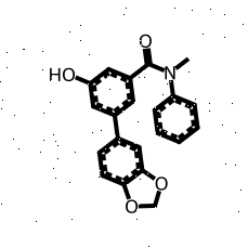 CN(C(=O)c1cc(O)cc(-c2ccc3c(c2)OCO3)c1)c1ccccc1